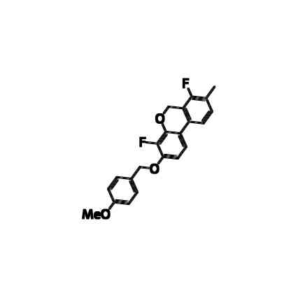 COc1ccc(COc2ccc3c(c2F)OCc2c-3ccc(C)c2F)cc1